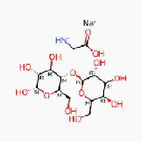 OC[C@H]1O[C@@H](O[C@H]2[C@H](O)[C@@H](O)[C@@H](O)O[C@@H]2CO)[C@H](O)[C@@H](O)[C@H]1O.[NH-]CC(=O)O.[Na+]